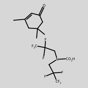 CC1=CC(=O)CC(C)(C)C1.O=C(O)N(CC(F)(F)C(F)(F)F)CC(F)(F)C(F)(F)F